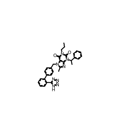 CCCn1c(=O)c2c(nc(C)n2Cc2ccc(-c3ccccc3-c3nnn[nH]3)cc2)n(C(C)c2ccccc2)c1=O